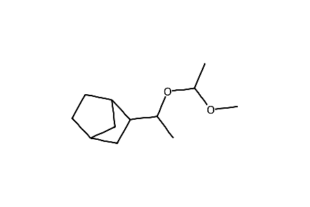 COC(C)OC(C)C1CC2CCC1C2